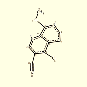 COc1nccc2c(Cl)c(C#N)cnc12